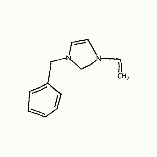 C=CN1C=CN(Cc2ccccc2)C1